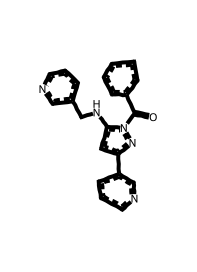 O=C(c1ccccc1)n1nc(-c2cccnc2)cc1NCc1cccnc1